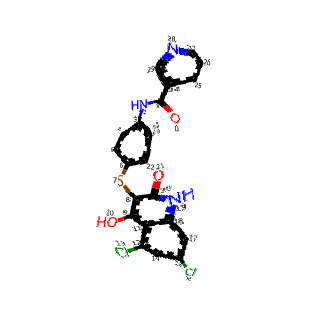 O=C(Nc1ccc(Sc2c(O)c3c(Cl)cc(Cl)cc3[nH]c2=O)cc1)c1cccnc1